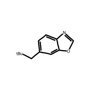 CC(C)(C)Cc1ccc2ncoc2c1